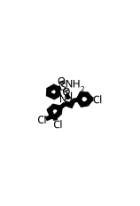 NS(=O)(=O)c1ccccc1-n1nc(-c2ccc(Cl)cc2)cc1-c1ccc(Cl)c(Cl)c1